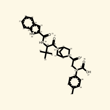 Cc1ccc(N(CC(=O)N2CC3CC2CN3C(=O)C(NC(=O)c2cc3ccccc3[nH]2)C(C)(C)C)C(=O)O)cc1